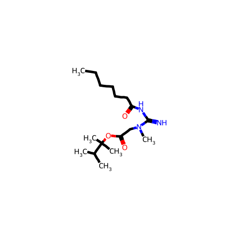 CCCCCCC(=O)NC(=N)N(C)CC(=O)OC(C)(C)C(C)C